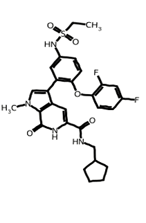 CCS(=O)(=O)Nc1ccc(Oc2ccc(F)cc2F)c(-c2cn(C)c3c(=O)[nH]c(C(=O)NCC4CCCC4)cc23)c1